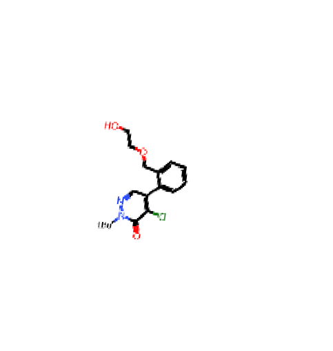 CC(C)(C)n1ncc(-c2ccccc2COCCO)c(Cl)c1=O